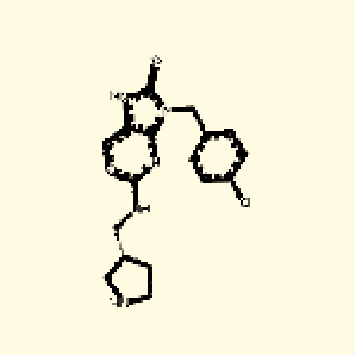 O=c1[nH]c2cnc(NC[C@@H]3CCNC3)nc2n1Cc1ccc(Cl)cc1